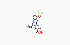 C=C(O)C1=CN2C(=CC1=C)c1cc3c(OC(F)F)cccc3n1CC2C(C)(C)C